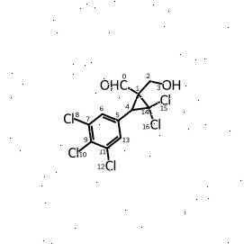 O=CC1(CO)C(c2cc(Cl)c(Cl)c(Cl)c2)C1(Cl)Cl